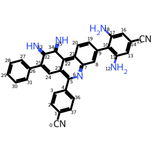 N#Cc1ccc(-c2nc3cc(-c4c(N)cc(C#N)cc4N)ccc3c3c2C=C(c2ccccc2)C(=N)C3=N)cc1